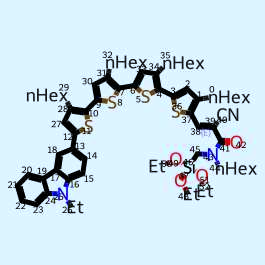 CCCCCCc1cc(-c2sc(-c3sc(-c4sc(-c5ccc6c(c5)c5ccccc5n6CC)cc4CCCCCC)cc3CCCCCC)cc2CCCCCC)sc1/C=C(\C#N)C(=O)N(CCCCCC)C[Si](OCC)(OCC)OCC